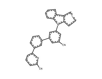 N#Cc1cc(-c2cccc(-c3cccc(C#N)n3)c2)cc(-n2c3ccccc3c3ccccc32)c1